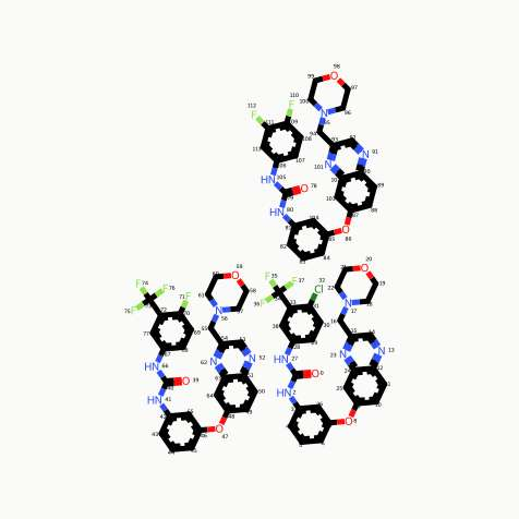 O=C(Nc1cccc(Oc2ccc3ncc(CN4CCOCC4)nc3c2)c1)Nc1ccc(Cl)c(C(F)(F)F)c1.O=C(Nc1cccc(Oc2ccc3ncc(CN4CCOCC4)nc3c2)c1)Nc1ccc(F)c(C(F)(F)F)c1.O=C(Nc1cccc(Oc2ccc3ncc(CN4CCOCC4)nc3c2)c1)Nc1ccc(F)c(F)c1